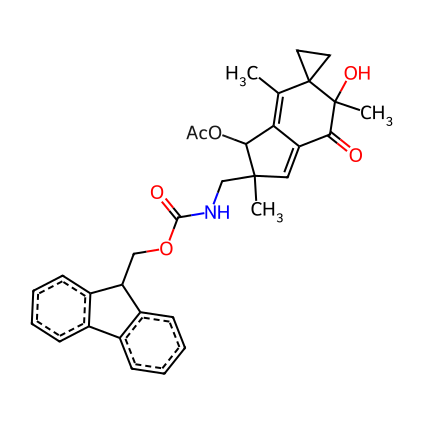 CC(=O)OC1C2=C(C)C3(CC3)C(C)(O)C(=O)C2=CC1(C)CNC(=O)OCC1c2ccccc2-c2ccccc21